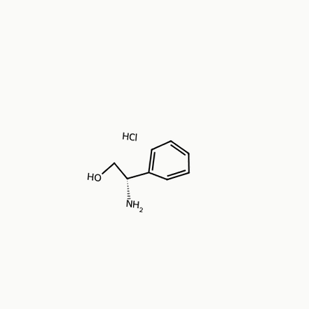 Cl.N[C@H](CO)c1ccccc1